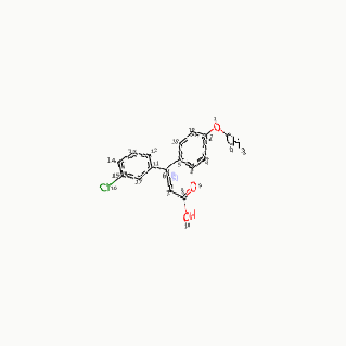 COc1ccc(/C(=C\C(=O)O)c2cccc(Cl)c2)cc1